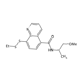 CCSSc1ccc(C(=O)NC(C)COC)c2cccnc12